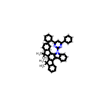 CC1(C)c2ccccc2-c2c1c1c(c3c2c2ccccc2n3-c2nc(-c3ccccc3)cc(-c3ccccc3)n2)-c2ccccc2C1(C)C